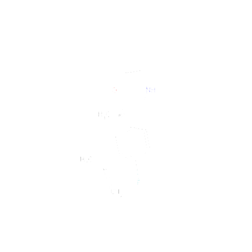 C=C(C)c1cc([C@]2(C)CNCCO2)ccc1F